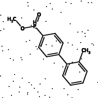 CO[PH](=O)c1ccc(-c2ccccc2C)cc1